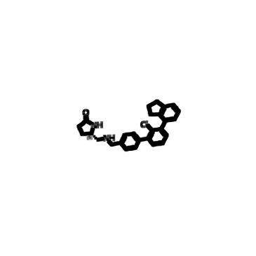 O=C1CC[C@@H](CNCc2ccc(-c3cccc(-c4cccc5c4CCC5)c3Cl)cc2)N1